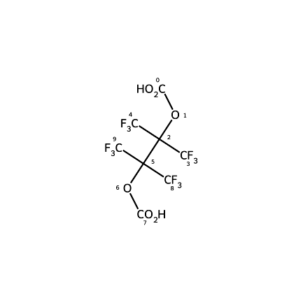 O=C(O)OC(C(F)(F)F)(C(F)(F)F)C(OC(=O)O)(C(F)(F)F)C(F)(F)F